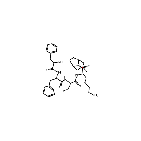 CC(C)CC(NC(=O)C(Cc1ccccc1)NC(=O)C(N)Cc1ccccc1)C(=O)NC(CCCCN)C(=O)N1C2CCC1CN(C)C2